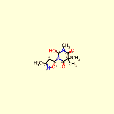 CC1=NOC(N2C(=O)C(C)(C)C(=O)N(C)C2O)C1